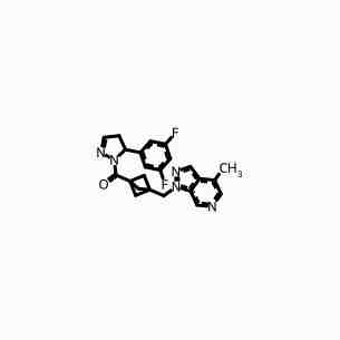 Cc1cncc2c1cnn2CC12CC(C(=O)N3N=CCC3c3cc(F)cc(F)c3)(C1)C2